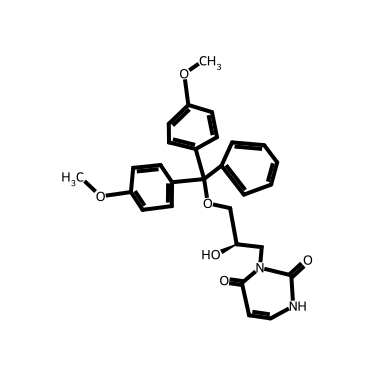 COc1ccc(C(OC[C@H](O)Cn2c(=O)cc[nH]c2=O)(c2ccccc2)c2ccc(OC)cc2)cc1